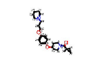 CC1(C(=O)N2CCC(Oc3ccc(OCCCN4CCCCC4)cc3)CC2)CC1